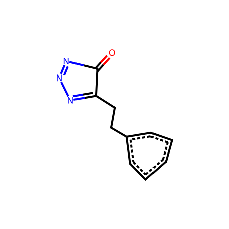 O=C1N=NN=C1CCc1ccccc1